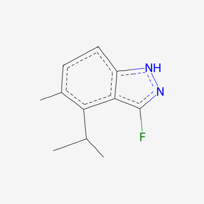 Cc1ccc2[nH]nc(F)c2c1C(C)C